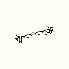 C=C(C)C(=O)NCCCOCCOCCOCCCNC(=O)C(CC)(C(C)C)C(C)(C)C